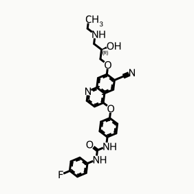 CCNC[C@@H](O)COc1cc2nccc(Oc3ccc(NC(=O)Nc4ccc(F)cc4)cc3)c2cc1C#N